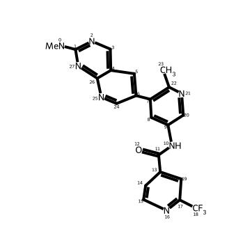 CNc1ncc2cc(-c3cc(NC(=O)c4ccnc(C(F)(F)F)c4)cnc3C)cnc2n1